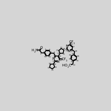 NC(=O)Cc1ccc(Cc2nc(C3CCCC3)nc(C(F)(F)F)c2C2CC[C@H](c3nc(Cc4ccc(CC(=O)O)cc4)cc(C(F)(F)F)n3)C2)cc1